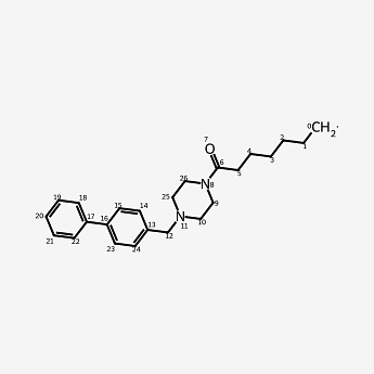 [CH2]CCCCCC(=O)N1CCN(Cc2ccc(-c3ccccc3)cc2)CC1